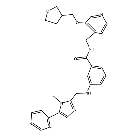 Cn1c(-c2ccncn2)cnc1CNc1cccc(C(=O)NCc2ccncc2OCC2CCOC2)c1